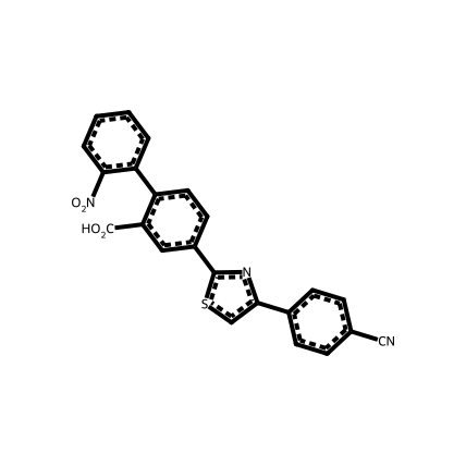 N#Cc1ccc(-c2csc(-c3ccc(-c4ccccc4[N+](=O)[O-])c(C(=O)O)c3)n2)cc1